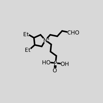 CCC1C[N+](CCCC=O)(CCCP(=O)(O)O)CC1CC